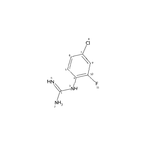 N=C(N)Nc1ccc(Cl)cc1F